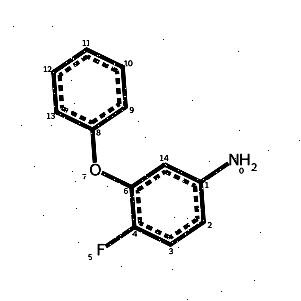 Nc1ccc(F)c(Oc2ccccc2)c1